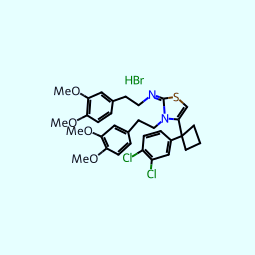 Br.COc1ccc(CC/N=c2/scc(C3(c4ccc(Cl)c(Cl)c4)CCC3)n2CCc2ccc(OC)c(OC)c2)cc1OC